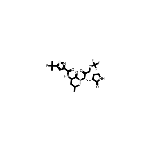 CC(C)CC(NC(=O)c1cc(C(C)(C)F)on1)C(=O)N[C@@H](C[C@@H]1CCNC1=O)C(=O)COC(F)(F)F